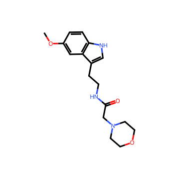 COc1ccc2[nH]cc(CCNC(=O)CN3CCOCC3)c2c1